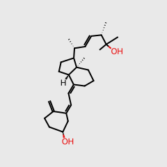 C=C1CC[C@H](O)C/C1=C/C=C1\CCC[C@]2(C)C([C@H](C)/C=C/[C@H](C)C(C)(C)O)CC[C@@H]12